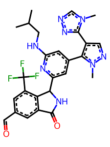 CC(C)CNc1cc(-c2c(-c3nncn3C)cnn2C)cc(C2NC(=O)c3cc(C=O)cc(C(F)(F)F)c32)n1